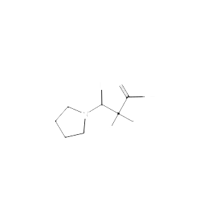 C=C(C)C(C)(F)C(F)N1CCCC1